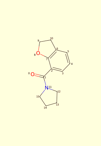 O=C(c1cccc2c1OCC2)N1CCCC1